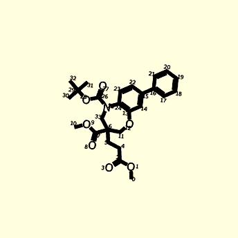 COC(=O)CCC1(C(=O)OC)COc2cc(-c3ccccc3)ccc2N(C(=O)OC(C)(C)C)C1